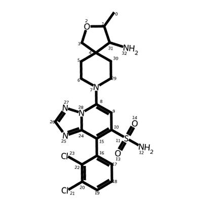 CC1OCC2(CCN(c3cc(S(N)(=O)=O)c(-c4cccc(Cl)c4Cl)c4ncnn34)CC2)C1N